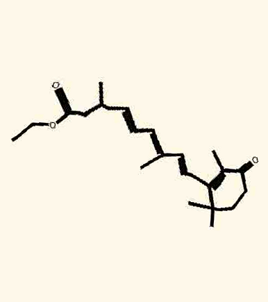 CCOC(=O)CC(C)/C=C/C=C(C)/C=C/C1=C(C)C(=O)CCC1(C)C